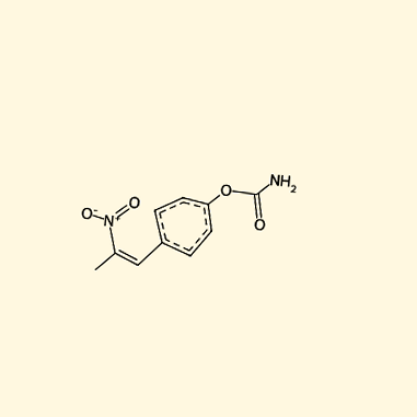 CC(=Cc1ccc(OC(N)=O)cc1)[N+](=O)[O-]